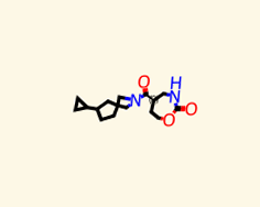 O=C1NC[C@H](C(=O)N2CC3(CCC(C4CC4)C3)C2)CCO1